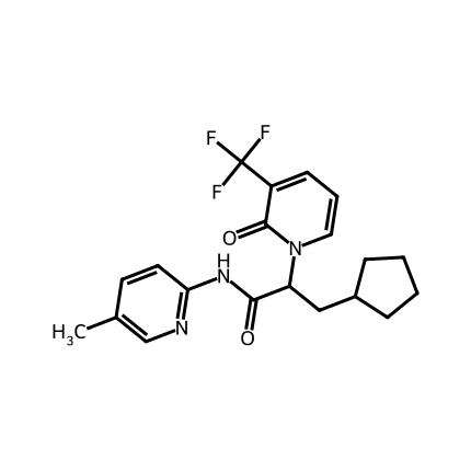 Cc1ccc(NC(=O)C(CC2CCCC2)n2cccc(C(F)(F)F)c2=O)nc1